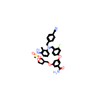 Cc1c(NS(C)(=O)=O)cccc1N(Cc1ccc(C#N)cc1)Cc1ccc(Oc2cc(OCC3CCOC3)cc(C(N)=O)c2)cc1F